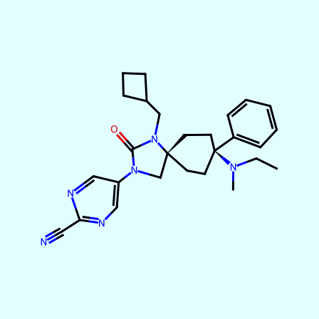 CCN(C)[C@]1(c2ccccc2)CC[C@@]2(CC1)CN(c1cnc(C#N)nc1)C(=O)N2CC1CCC1